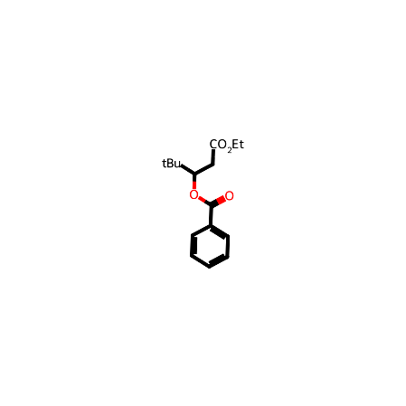 CCOC(=O)CC(OC(=O)c1ccccc1)C(C)(C)C